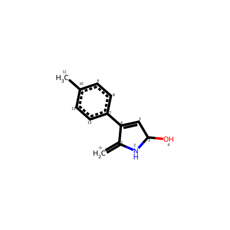 C=C1NC(O)C=C1c1ccc(C)cc1